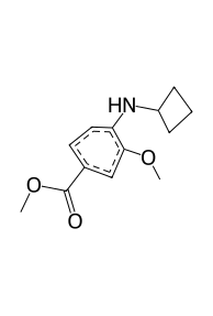 COC(=O)c1ccc(NC2CCC2)c(OC)c1